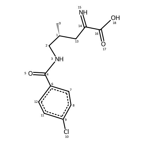 C[C@@H](CNC(=O)c1ccc(Cl)cc1)CC(=N)C(=O)O